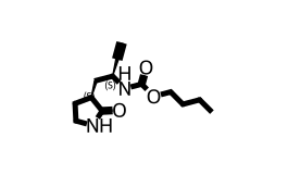 C#C[C@H](C[C@@H]1CCNC1=O)NC(=O)OCCCC